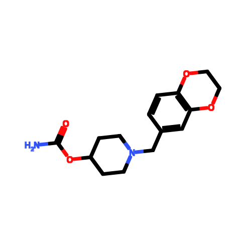 NC(=O)OC1CCN(Cc2ccc3c(c2)OCCO3)CC1